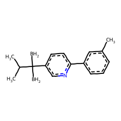 BC(B)(c1ccc(-c2cccc(C)c2)nc1)C(C)C